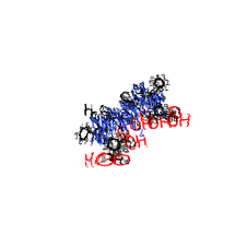 [C-]#[N+]c1c(-c2ccccc2)nn(-c2cc(C(=O)O)cc(C(=O)O)c2)c1N=Nc1c(C)nn(-c2nc(O)nc(-n3nc(C)c(N=Nc4c(C#N)c(-c5ccccc5)nn4-c4cc(C(=O)O)cc(C(=O)O)c4)c3N)n2)c1N